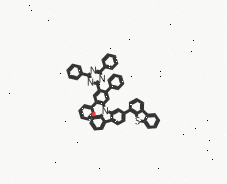 c1ccc(-c2nc(-c3ccccc3)nc(-c3cc(-c4ccccc4)c(-n4c5ccccc5c5ccc(-c6cccc7c6sc6ccccc67)cc54)cc3-c3ccccc3)n2)cc1